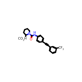 O=C(O)C1CCCCN1C(=O)Nc1ccc(C#Cc2cccc(C(F)(F)F)c2)cc1